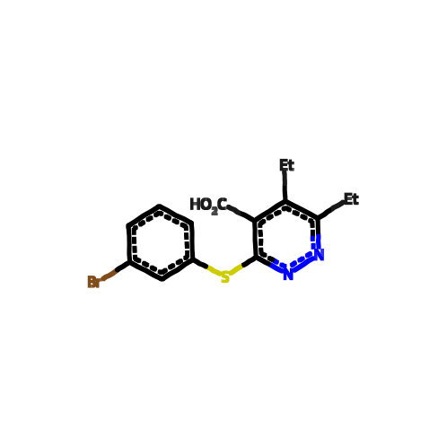 CCc1nnc(Sc2cccc(Br)c2)c(C(=O)O)c1CC